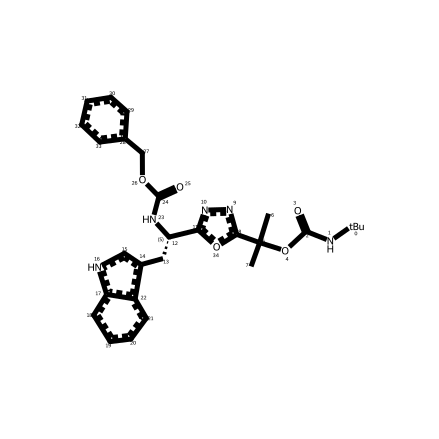 CC(C)(C)NC(=O)OC(C)(C)c1nnc([C@H](Cc2c[nH]c3ccccc23)NC(=O)OCc2ccccc2)o1